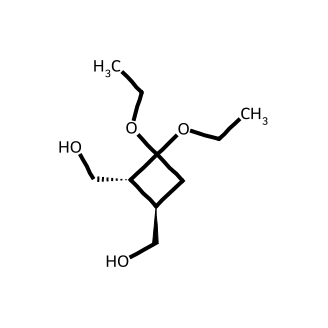 CCOC1(OCC)C[C@@H](CO)[C@@H]1CO